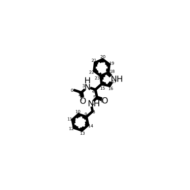 CC(=O)NC(C(=O)NCc1ccccc1)c1c[nH]c2ccccc12